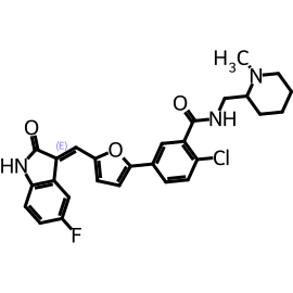 CN1CCCCC1CNC(=O)c1cc(-c2ccc(/C=C3/C(=O)Nc4ccc(F)cc43)o2)ccc1Cl